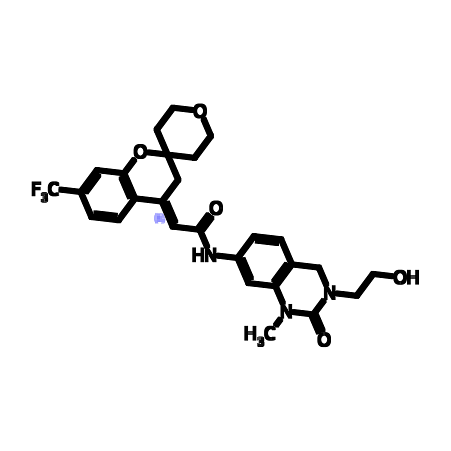 CN1C(=O)N(CCO)Cc2ccc(NC(=O)/C=C3\CC4(CCOCC4)Oc4cc(C(F)(F)F)ccc43)cc21